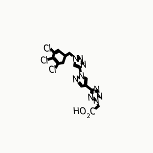 O=C(O)Cn1nnc(-c2cnn(-c3cn(CC4C=C(Cl)C(Cl)=C(Cl)C4)nn3)c2)n1